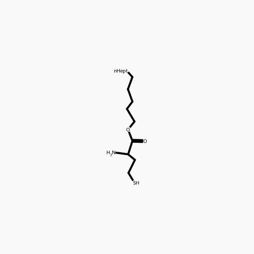 CCCCCCCCCCCCOC(=O)C(N)CCS